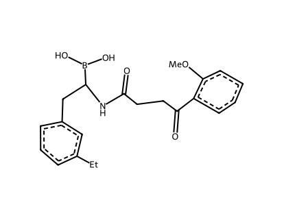 CCc1cccc(CC(NC(=O)CCC(=O)c2ccccc2OC)B(O)O)c1